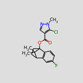 Cn1ncc(C(=O)OC23CCC(c4cc(F)ccc42)C3(C)C)c1Cl